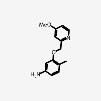 COc1ccnc(COc2cc(N)ccc2C)c1